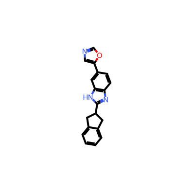 c1ccc2c(c1)CC(c1nc3ccc(-c4cnco4)cc3[nH]1)C2